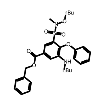 CCCCNc1cc(C(=O)OCc2ccccc2)cc(S(=O)(=O)N(C)OCCCC)c1Oc1ccccc1